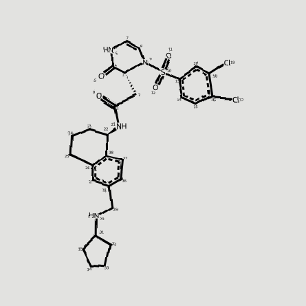 O=C(C[C@@H]1C(=O)NC=CN1S(=O)(=O)c1ccc(Cl)c(Cl)c1)N[C@@H]1CCCc2cc(CNC3CCCC3)ccc21